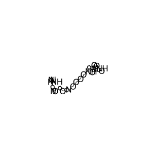 O=C1CCC(N2C(=O)c3cccc(NCCOCCOCCOCCOCCN4CCC(Oc5cccc(-c6onc7ccc(-c8nnn[nH]8)cc67)c5)CC4)c3C2=O)C(=O)N1